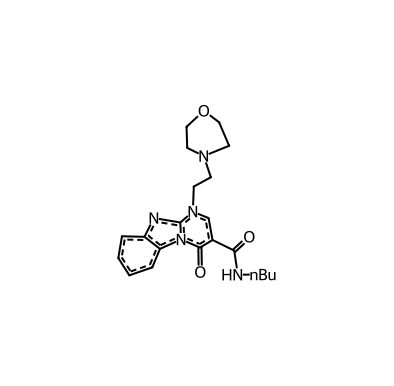 CCCCNC(=O)c1cn(CCN2CCOCC2)c2nc3ccccc3n2c1=O